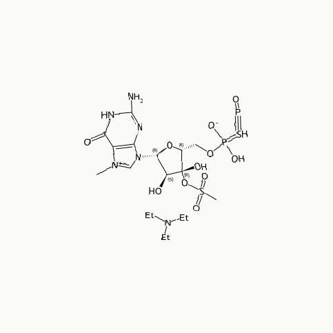 CCN(CC)CC.C[n+]1cn([C@@H]2O[C@H](COP([O-])(O)=[SH]#P=O)[C@](O)(OS(C)(=O)=O)[C@H]2O)c2nc(N)[nH]c(=O)c21